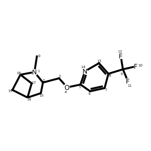 CN1C(COc2ccc(C(F)(F)F)cn2)CC2CC1C2